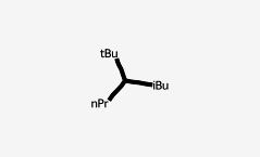 [CH2]CCC(C(C)CC)C(C)(C)C